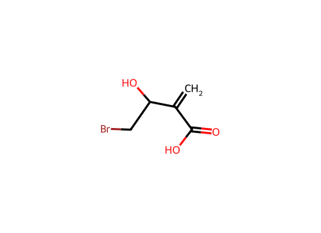 C=C(C(=O)O)C(O)CBr